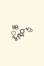 CN(C(=O)c1cn2c(nc3cc(CN4CCOCC4)ccc32)s1)C1CCCCC1.Cl.Cl